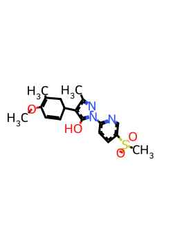 COC1=C(C)CC(c2c(C)nn(-c3ccc(S(C)(=O)=O)cn3)c2O)C=C1